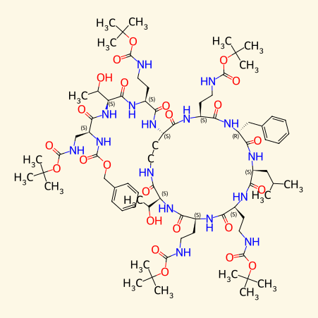 CC(C)C[C@@H]1NC(=O)[C@@H](Cc2ccccc2)NC(=O)[C@H](CCNC(=O)OC(C)(C)C)NC(=O)[C@@H](NC(=O)[C@H](CCNC(=O)OC(C)(C)C)NC(=O)[C@@H](NC(=O)[C@H](CNC(=O)OC(C)(C)C)NC(=O)OCc2ccccc2)C(C)O)CCNC(=O)[C@H](C(C)O)NC(=O)[C@H](CCNC(=O)OC(C)(C)C)NC(=O)[C@H](CCNC(=O)OC(C)(C)C)NC1=O